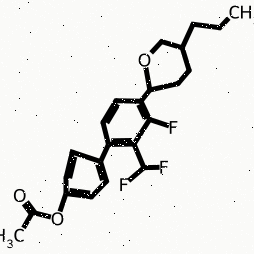 CCCC1CCC(c2ccc(-c3ccc(OC(C)=O)cc3)c(C(F)F)c2F)OC1